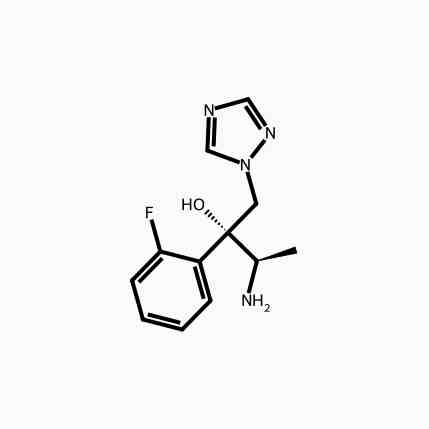 C[C@@H](N)[C@](O)(Cn1cncn1)c1ccccc1F